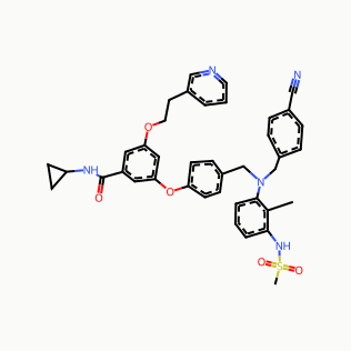 Cc1c(NS(C)(=O)=O)cccc1N(Cc1ccc(C#N)cc1)Cc1ccc(Oc2cc(OCCc3cccnc3)cc(C(=O)NC3CC3)c2)cc1